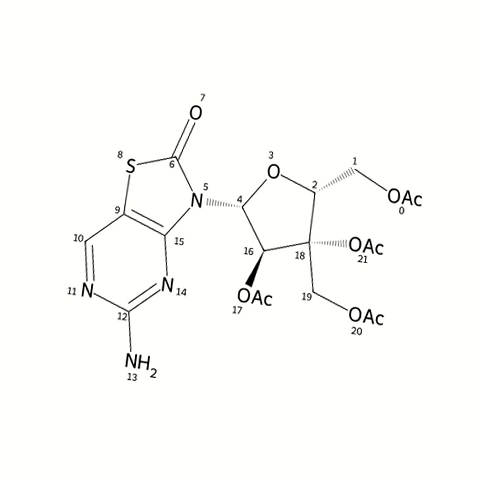 CC(=O)OC[C@H]1O[C@@H](n2c(=O)sc3cnc(N)nc32)[C@H](OC(C)=O)[C@@]1(COC(C)=O)OC(C)=O